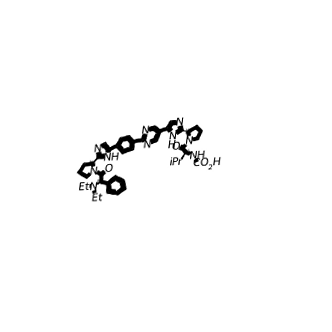 CCN(CC)[C@@H](C(=O)N1CCC[C@H]1c1ncc(-c2ccc(-c3ncc(-c4cnc([C@@H]5CCCN5C(=O)[C@@H](NC(=O)O)C(C)C)[nH]4)cn3)cc2)[nH]1)c1ccccc1